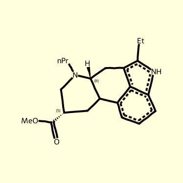 CCCN1C[C@@H](C(=O)OC)CC2c3cccc4[nH]c(CC)c(c34)C[C@H]21